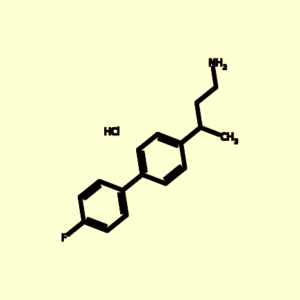 CC(CCN)c1ccc(-c2ccc(F)cc2)cc1.Cl